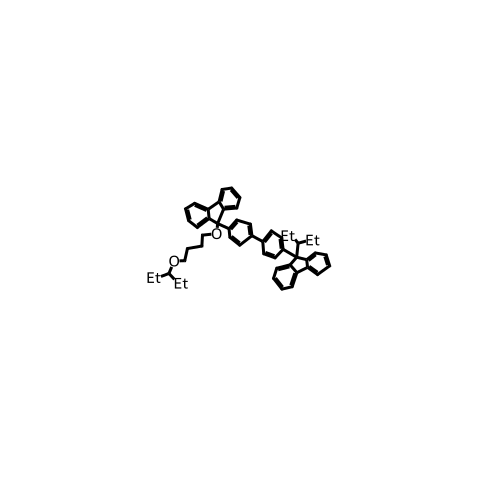 CCC(CC)OCCCCOC1(c2ccc(-c3ccc(C4(C(CC)CC)c5ccccc5-c5ccccc54)cc3)cc2)c2ccccc2-c2ccccc21